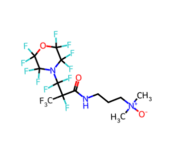 C[N+](C)([O-])CCCNC(=O)C(F)(C(F)(F)F)C(F)(F)N1C(F)(F)C(F)(F)OC(F)(F)C1(F)F